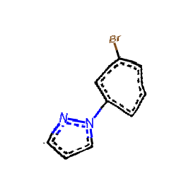 Brc1cccc(-n2cc[c]n2)c1